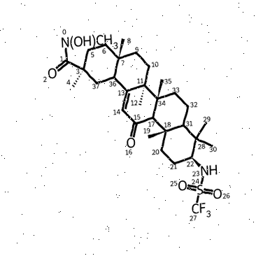 CN(O)C(=O)[C@@]1(C)CC[C@]2(C)CC[C@]3(C)C(=CC(=O)C4[C@@]5(C)CC[C@H](NS(=O)(=O)C(F)(F)F)C(C)(C)C5CC[C@]43C)C2C1